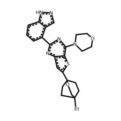 CCC12CCC(c3cc4nc(-c5cccc6[nH]ncc56)nc(N5CCOCC5)c4s3)(CC1)OC2